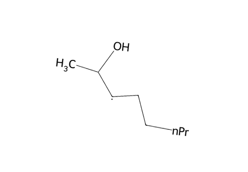 CCCCC[CH]C(C)O